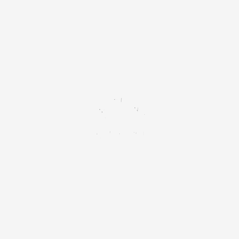 Cc1cc(C)c(N)c(C)c1N